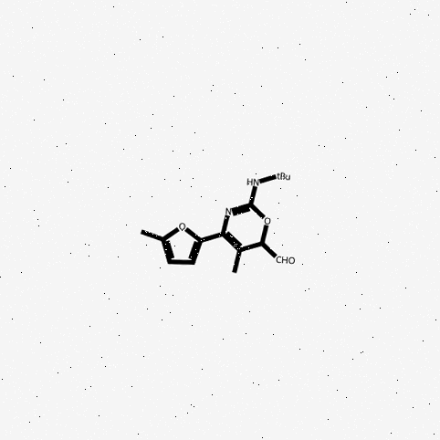 CC1=C(c2ccc(C)o2)N=C(NC(C)(C)C)OC1C=O